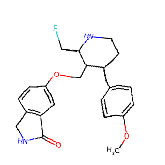 COc1ccc(C2CCNC(CF)C2COc2ccc3c(c2)C(=O)NC3)cc1